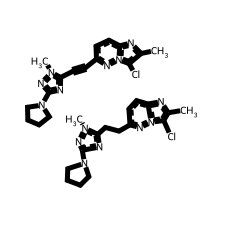 Cc1nc2ccc(C#Cc3nc(N4CCCC4)nn3C)nn2c1Cl.Cc1nc2ccc(CCc3nc(N4CCCC4)nn3C)nn2c1Cl